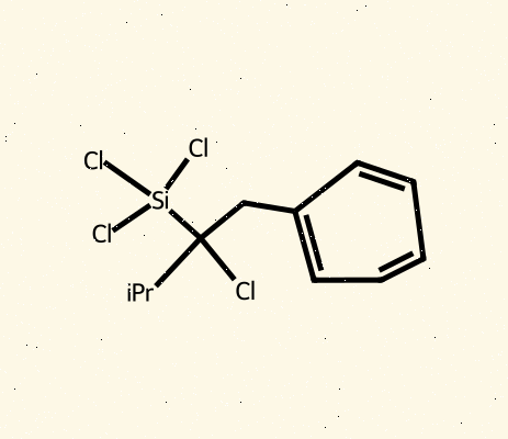 CC(C)C(Cl)(Cc1ccccc1)[Si](Cl)(Cl)Cl